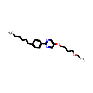 CCCCCCc1ccc(-c2ncc(OCCCCOCC)cn2)cc1